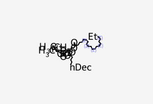 CC/C=C\C/C=C\C/C=C\C/C=C\C/C=C\CCCC(=O)OC[C@H](COP(=O)([O-])OCC[N+](C)(C)C)OC(=O)CCCCCCCCCCCCCC